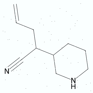 C=CCC(C#N)C1CCCNC1